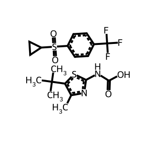 Cc1nc(NC(=O)O)sc1C(C)(C)C.O=S(=O)(c1ccc(C(F)(F)F)cc1)C1CC1